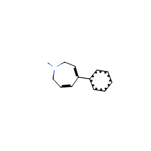 CN1CC=CC(c2ccccc2)=CC1